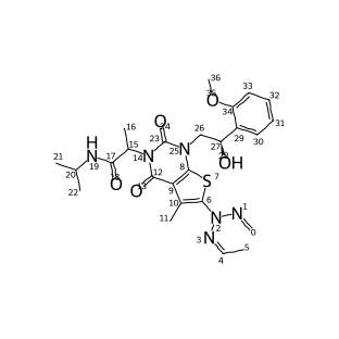 C=NN(/N=C\C)c1sc2c(c1C)c(=O)n(C(C)C(=O)NC(C)C)c(=O)n2C[C@H](O)c1ccccc1OC